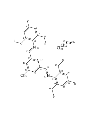 CCc1cc(C)cc(CC)c1N=Cc1cc(Cl)cc(C=Nc2c(CC)cc(C)cc2CC)n1.[Cl-].[Cl-].[Co+2]